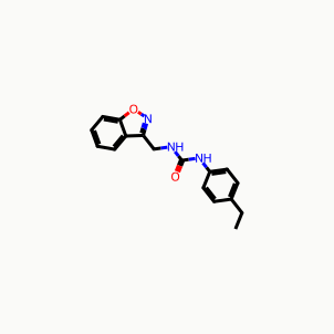 CCc1ccc(NC(=O)NCc2noc3ccccc23)cc1